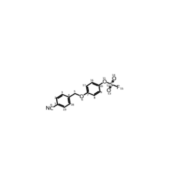 N#Cc1ccc(COc2ccc(OS(=O)(=O)F)cc2)cc1